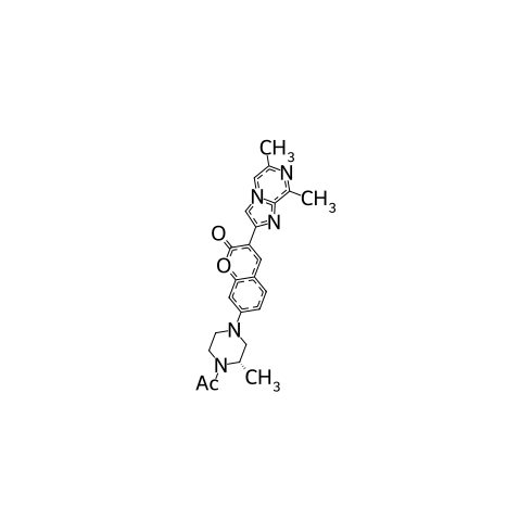 CC(=O)N1CCN(c2ccc3cc(-c4cn5cc(C)nc(C)c5n4)c(=O)oc3c2)C[C@@H]1C